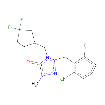 Cn1nc(Cc2c(F)cccc2Cl)n(CC2CCC(F)(F)C2)c1=O